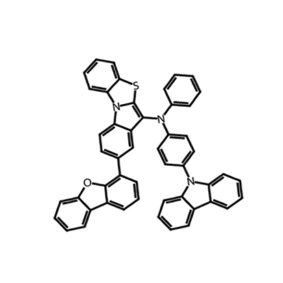 c1ccc(N(c2ccc(-n3c4ccccc4c4ccccc43)cc2)c2c3cc(-c4cccc5c4oc4ccccc45)ccc3n3c2sc2ccccc23)cc1